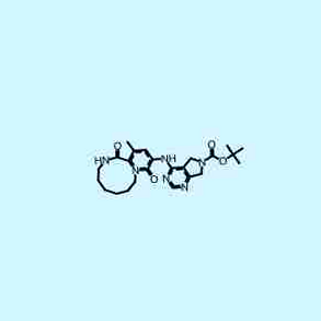 Cc1cc(Nc2ncnc3c2CN(C(=O)OC(C)(C)C)C3)c(=O)n2c1C(=O)NCCCCCC2